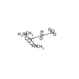 CNCc1ccc2cc3ccc(N(C)C)cc3[n+](CCCCCC(=O)NCCCCCN3C(=O)CCC3=O)c2c1